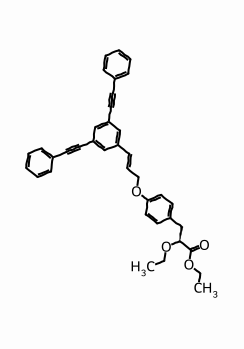 CCOC(=O)[C@H](Cc1ccc(OC/C=C/c2cc(C#Cc3ccccc3)cc(C#Cc3ccccc3)c2)cc1)OCC